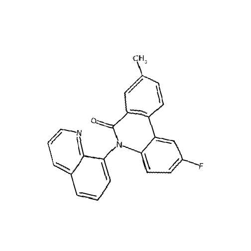 Cc1ccc2c(c1)c(=O)n(-c1cccc3cccnc13)c1ccc(F)cc21